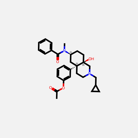 CC(=O)Oc1cccc([C@@]23CCN(CC4CC4)C[C@@]2(O)CC[C@H](N(C)C(=O)c2ccccc2)C3)c1